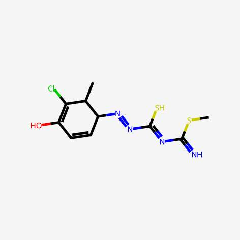 CSC(=N)/N=C(S)/N=N/C1C=CC(O)=C(Cl)C1C